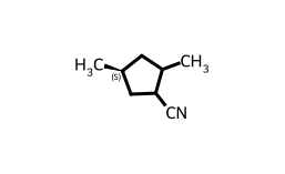 CC1C[C@H](C)CC1C#N